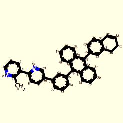 Cc1ncccc1-c1ccc(-c2cccc(-c3c4ccccc4c(-c4ccc5c(c4)CCC=C5)c4ccccc34)c2)cn1